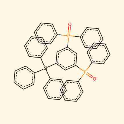 O=P(c1ccccc1)(c1ccccc1)c1cc([Si](c2ccccc2)(c2ccccc2)c2ccccc2)cc(P(=O)(c2ccccc2)c2ccccc2)c1